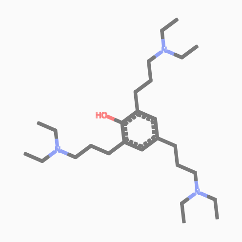 CCN(CC)CCCc1cc(CCCN(CC)CC)c(O)c(CCCN(CC)CC)c1